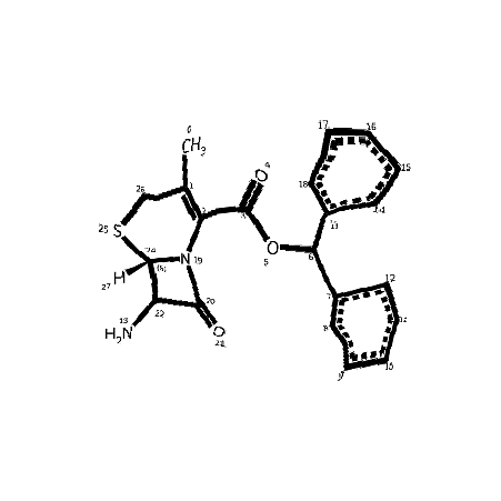 CC1=C(C(=O)OC(c2ccccc2)c2ccccc2)N2C(=O)C(N)[C@@H]2SC1